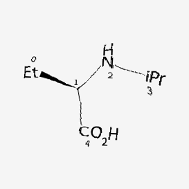 CC[C@@H](NC(C)C)C(=O)O